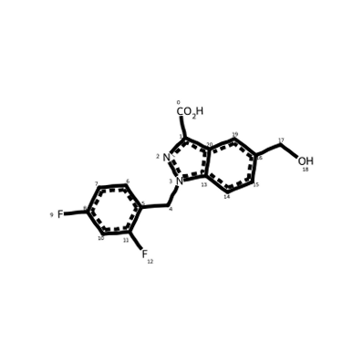 O=C(O)c1nn(Cc2ccc(F)cc2F)c2ccc(CO)cc12